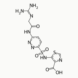 NC(N)=NCC(=O)Nc1ccc(S(=O)(=O)Nc2scnc2C(=O)O)nn1